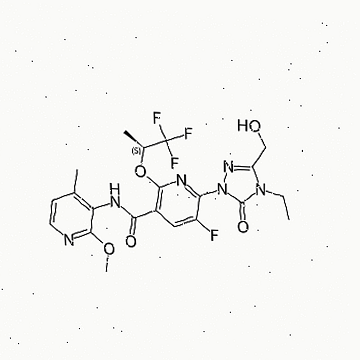 CCn1c(CO)nn(-c2nc(O[C@@H](C)C(F)(F)F)c(C(=O)Nc3c(C)ccnc3OC)cc2F)c1=O